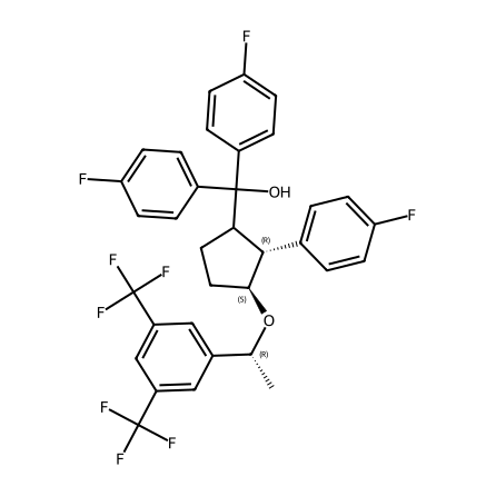 C[C@@H](O[C@H]1CCC(C(O)(c2ccc(F)cc2)c2ccc(F)cc2)[C@@H]1c1ccc(F)cc1)c1cc(C(F)(F)F)cc(C(F)(F)F)c1